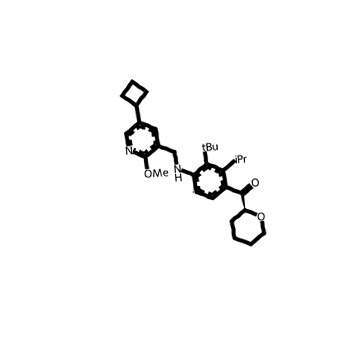 COc1ncc(C2CCC2)cc1CNc1[c]cc(C(=O)[C@@H]2CCCCO2)c(C(C)C)c1C(C)(C)C